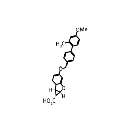 COc1ccc(-c2ccc(COC3=CCC4C(=C3)O[C@H]3[C@H](C(=O)O)[C@@H]43)cc2)c(C)c1